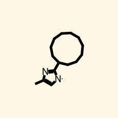 CC1=C[N]C(C2CCCCCCCCCC2)=N1